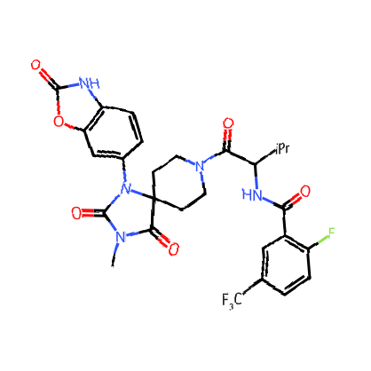 CC(C)C(NC(=O)c1cc(C(F)(F)F)ccc1F)C(=O)N1CCC2(CC1)C(=O)N(C)C(=O)N2c1ccc2[nH]c(=O)oc2c1